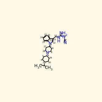 CC(C)[C@H]1CC[C@@H](N2CCC(n3cc(CN/C(N)=N\C#N)c4ccccc43)CC2)CC1